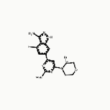 CC[C@@H]1COCCN1c1cc(-c2cc(F)c3c(N)n[nH]c3c2)nc(NC)n1